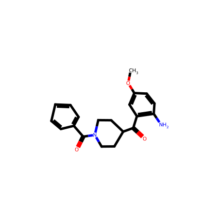 COc1ccc(N)c(C(=O)C2CCN(C(=O)c3ccccc3)CC2)c1